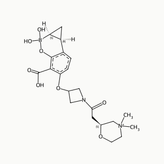 C[N+]1(C)CCO[C@@H](CC(=O)N2CC(Oc3ccc4c(c3C(=O)O)O[B-](O)(O)[C@H]3C[C@@H]43)C2)C1